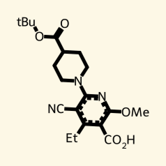 CCc1c(C#N)c(N2CCC(C(=O)OC(C)(C)C)CC2)nc(OC)c1C(=O)O